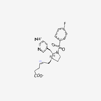 O=C([O-])CC/C=C\C[C@@H]1CCN(S(=O)(=O)c2ccc(F)cc2)[C@@H]1c1cccnc1.[Na+]